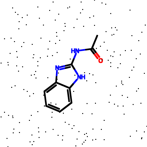 CC(=O)Nc1nc2c[c]ccc2[nH]1